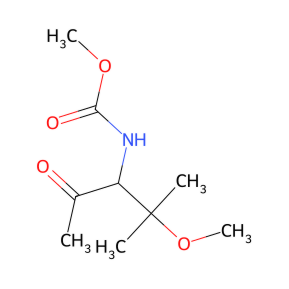 COC(=O)NC(C(C)=O)C(C)(C)OC